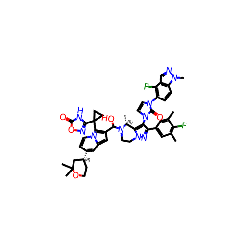 Cc1cc(-c2nn3c(c2-n2ccn(-c4ccc5c(cnn5C)c4F)c2=O)[C@@H](C)N(C(O)c2cc4cc([C@@H]5CCOC(C)(C)C5)ccn4c2C2(c4noc(=O)[nH]4)CC2)CC3)cc(C)c1F